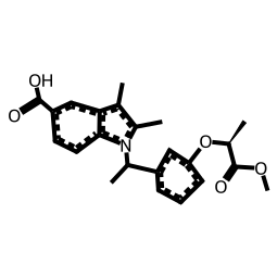 COC(=O)[C@H](C)Oc1cccc(C(C)n2c(C)c(C)c3cc(C(=O)O)ccc32)c1